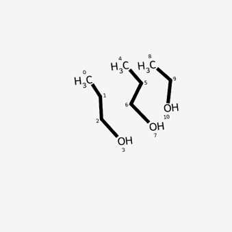 CCCO.CCCO.CCO